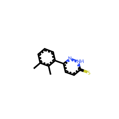 Cc1cccc(-c2ccc(=S)[nH]n2)c1C